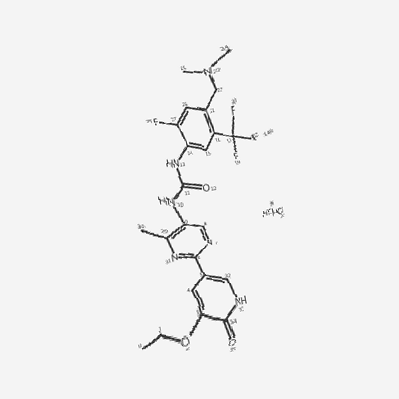 CCOc1cc(-c2ncc(NC(=O)Nc3cc(C(F)(F)F)c(CN(C)C)cc3F)c(C)n2)c[nH]c1=O.Cl.Cl